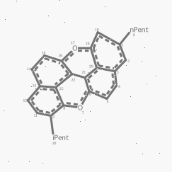 CCCCCc1cc2ccc3oc4c(C(C)CCC)ccc5ccc6oc(c1)c2c3-c6c54